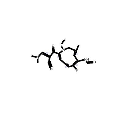 C\C1=C/C(NC=O)=C(F)\C=C\C=C(\C(=O)/C(C#N)=C/N(C)C)N(SI)C1